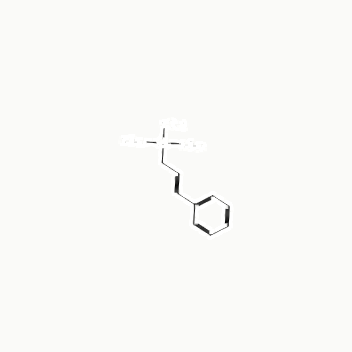 CCCCCCC[CH2][Sn]([CH2]/C=C/c1ccccc1)([CH2]CCCCCCC)[CH2]CCCCCCC